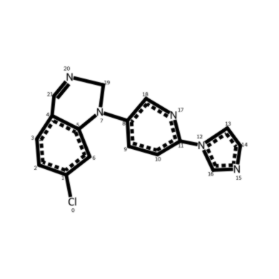 Clc1ccc2c(c1)N(c1ccc(-n3ccnc3)nc1)CN=C2